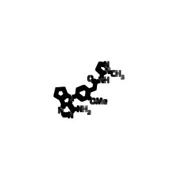 COc1cc(-n2c3c(c4ncnc(N)c42)CCC3)ccc1CC(=O)Nc1ccnn1C